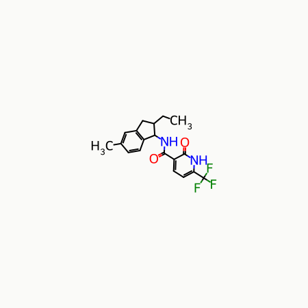 CCC1Cc2cc(C)ccc2C1NC(=O)c1ccc(C(F)(F)F)[nH]c1=O